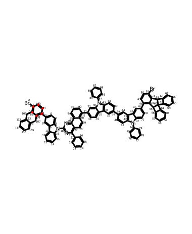 Brc1ccc(-c2ccc3c(c2)c2ccccc2n3-c2nc(-c3ccccc3)c3ccc4c(-c5ccc6c7cc(-c8ccc9c(c8)c8cc(-c%10ccc(Br)c%11c%10C%10c%12ccccc%12C%10%12c%10ccccc%10C%11%12)ccc8n9-c8ccccc8)ccc7n(-c7ccccc7)c6c5)cccc4c3n2)c2c1C1c3ccccc3C2c2ccccc21